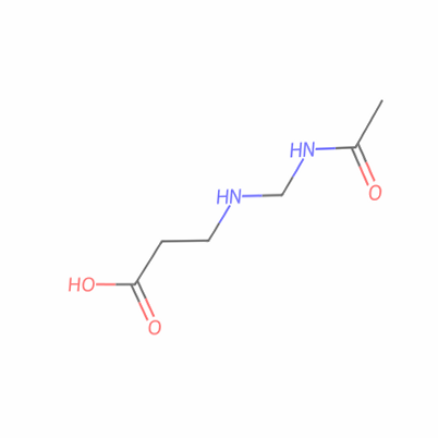 CC(=O)NCNCCC(=O)O